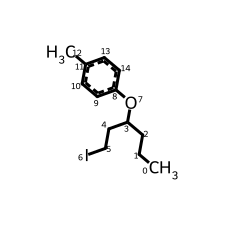 CCCC(CCI)Oc1ccc(C)cc1